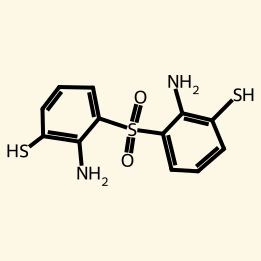 Nc1c(S)cccc1S(=O)(=O)c1cccc(S)c1N